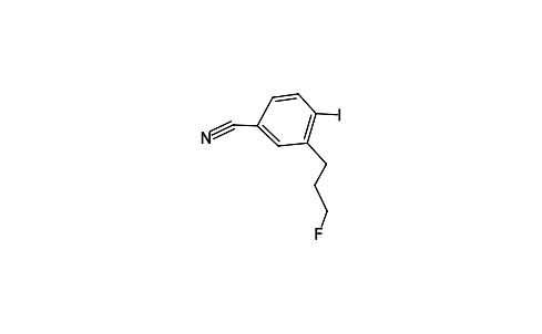 N#Cc1ccc(I)c(CCCF)c1